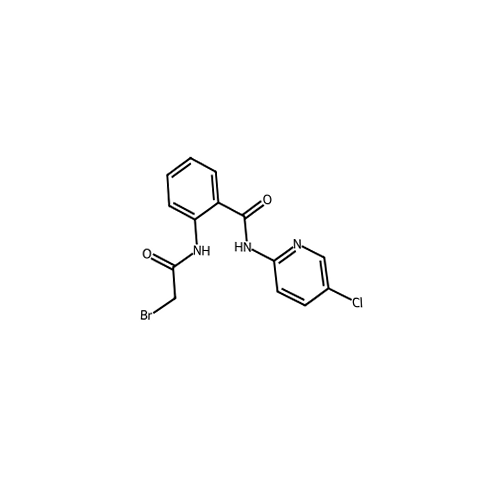 O=C(CBr)Nc1ccccc1C(=O)Nc1ccc(Cl)cn1